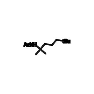 CC(=O)NC(C)(C)CCCC(C)(C)C